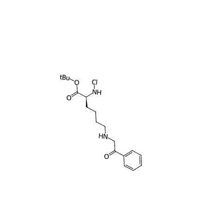 CC(C)(C)OC(=O)[C@H](CCCCNCC(=O)c1ccccc1)NCl